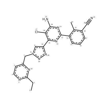 CCc1nccc(Cn2cc(-c3nc(-c4cccc(C#N)c4C)nc(N)c3Cl)nn2)n1